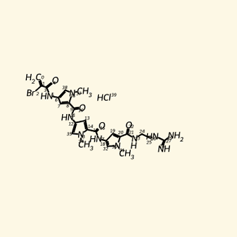 C=C(Br)C(=O)Nc1cc(C(=O)Nc2cc(C(=O)Nc3cc(C(=O)NCCNC(=N)N)n(C)c3)n(C)c2)n(C)c1.Cl